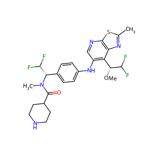 CO[C@H](c1c(Nc2ccc([C@@H](C(F)F)N(C)C(=O)C3CCNCC3)cc2)cnc2sc(C)nc12)C(F)F